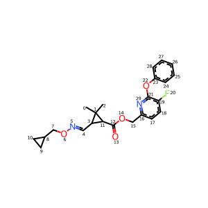 CC1(C)C(/C=N/OCC2CC2)C1C(=O)OCc1ccc(F)c(Oc2ccccc2)n1